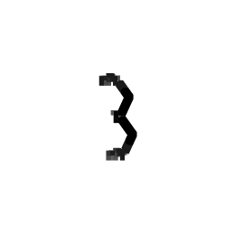 CCC[CH2][Ti][CH2]CCC